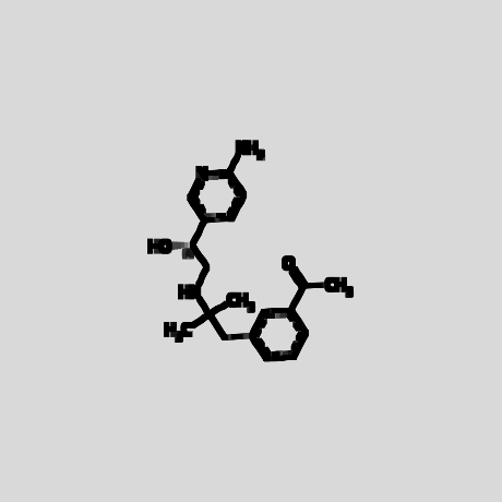 CC(=O)c1cccc(CC(C)(C)NC[C@H](O)c2ccc(N)nc2)c1